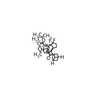 CC1CCN1c1nc(N2C[C@H]3C[C@@H](C2)C3CC(=O)N2CCN(C(=O)OC(C)(C)C)CC2)c2c(n1)C(F)(F)CC2